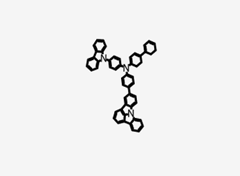 C1=CCCC(C2=CC=C(N(c3ccc(-c4ccc5c(c4)c4cccc6c7ccccc7n5c64)cc3)c3ccc(-n4c5ccccc5c5ccccc54)cc3)CC2)=C1